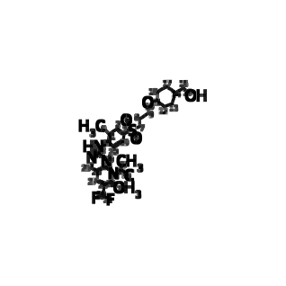 Cc1cc(S(=O)(=O)CCCOC2CCC(CO)CC2)ccc1Nc1ncc2cc(C(F)F)c(=O)n(C(C)C)c2n1